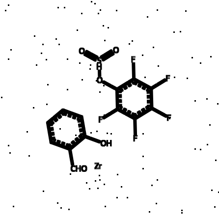 O=Cc1ccccc1O.O=[SH](=O)Oc1c(F)c(F)c(F)c(F)c1F.[Zr]